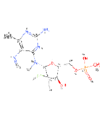 C=Nc1c(NC)nc(N)nc1N(C)[C@@H]1O[C@H](COP(=O)(O)O)[C@@H](O)[C@@]1(C)F